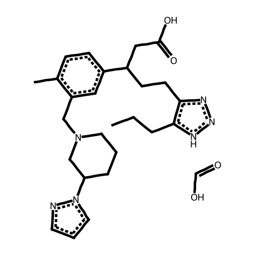 CCCc1[nH]nnc1CCC(CC(=O)O)c1ccc(C)c(CN2CCCC(n3cccn3)C2)c1.O=CO